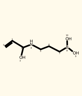 C=CC(O)NCCCB(O)O